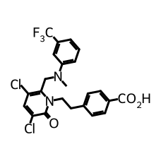 CN(Cc1c(Cl)cc(Cl)c(=O)n1CCc1ccc(C(=O)O)cc1)c1cccc(C(F)(F)F)c1